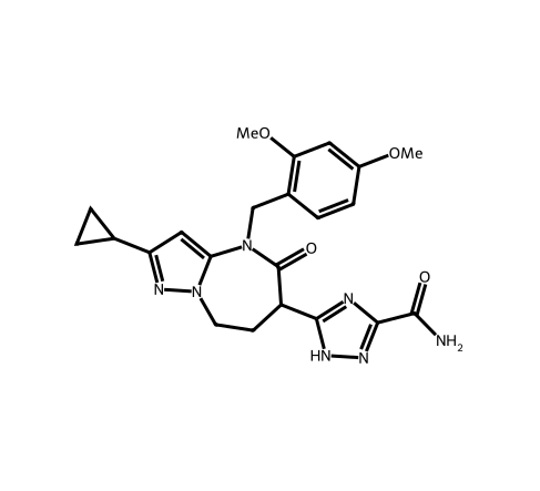 COc1ccc(CN2C(=O)C(c3nc(C(N)=O)n[nH]3)CCn3nc(C4CC4)cc32)c(OC)c1